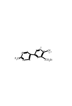 CCOC(=O)c1cc(-c2cnc(C(F)(F)F)nc2)cnc1C(F)(F)F